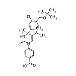 CC(C)C1=CN(c2ccc(C(=O)O)cc2)C(=O)N[C@@]1(C)c1ccc(COC(C)(C)C)c(Cl)c1